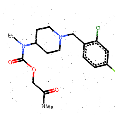 CCN(C(=O)OCC(=O)NC)C1CCN(Cc2ccc(F)cc2Cl)CC1